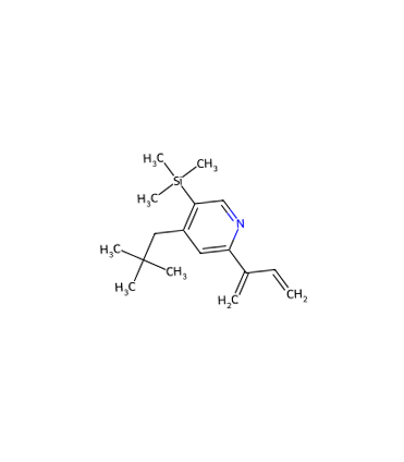 C=CC(=C)c1cc(CC(C)(C)C)c([Si](C)(C)C)cn1